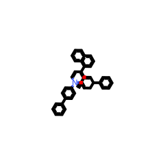 C#C/C=C(\C=C/N(C1=CCC(c2ccccc2)C=C1)c1ccc(-c2ccccc2)cc1)c1cccc2ccccc12